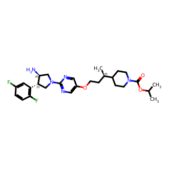 CC(C)OC(=O)N1CCC([C@H](C)CCOc2cnc(N3C[C@H](c4cc(F)ccc4F)[C@@H](N)C3)nc2)CC1